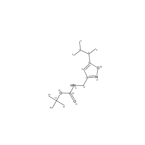 CC(C)C(C)c1cc(CNC(=O)OC(C)(C)C)no1